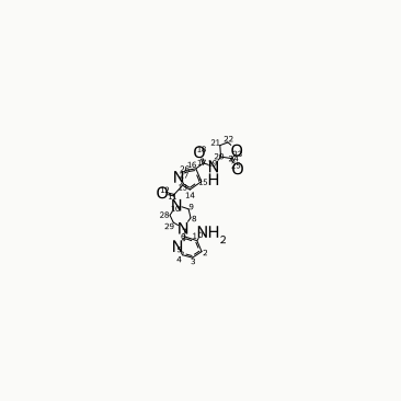 Nc1cccnc1N1CCN(C(=O)c2ccc(C(=O)NC3CCOC3=O)cn2)CC1